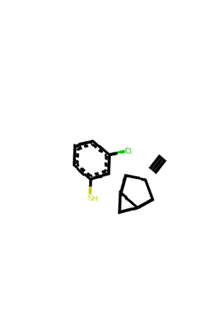 C#C.C1CC2CC2C1.Sc1cccc(Cl)c1